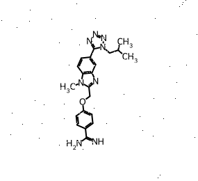 CC(C)Cn1nnnc1-c1ccc2c(c1)nc(COc1ccc(C(=N)N)cc1)n2C